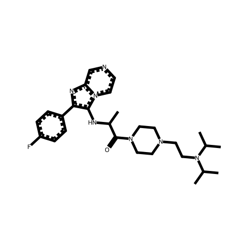 CC(Nc1c(-c2ccc(F)cc2)nc2cnccn12)C(=O)N1CCN(CCN(C(C)C)C(C)C)CC1